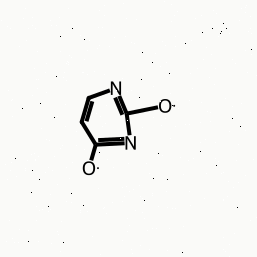 [O]c1ccnc([O])n1